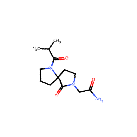 CC(C)C(=O)N1CCCC12CCN(CC(N)=O)C2=O